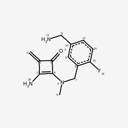 C=C1C(=O)C(N(C)Cc2cc(CN)ccc2F)=C1N